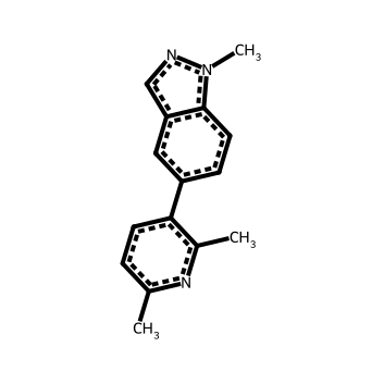 Cc1ccc(-c2ccc3c(cnn3C)c2)c(C)n1